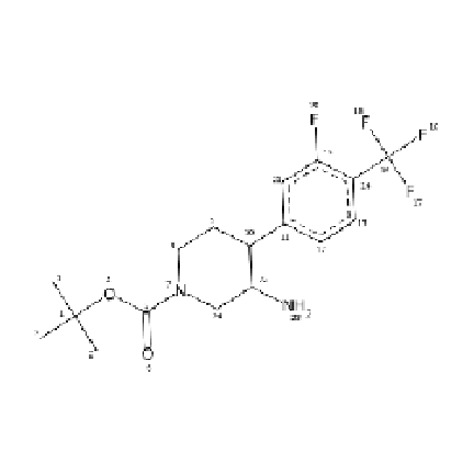 CC(C)(C)OC(=O)N1CCC(c2ccc(C(F)(F)F)c(F)c2)C(N)C1